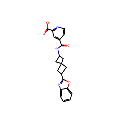 O=C(NC1CC2(C1)CC(c1nc3ccccc3o1)C2)c1ccnc(C(=O)O)c1